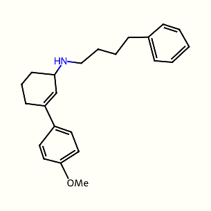 COc1ccc(C2=CC(NCCCCc3ccccc3)CCC2)cc1